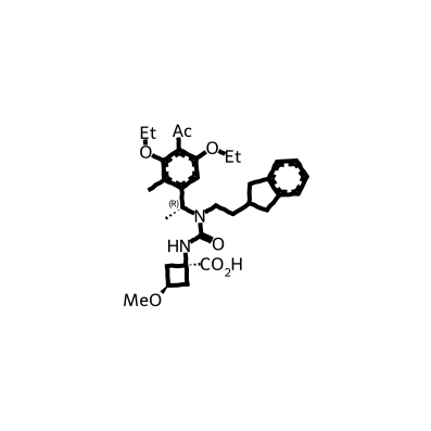 CCOc1cc([C@@H](C)N(CCC2Cc3ccccc3C2)C(=O)N[C@]2(C(=O)O)C[C@H](OC)C2)c(C)c(OCC)c1C(C)=O